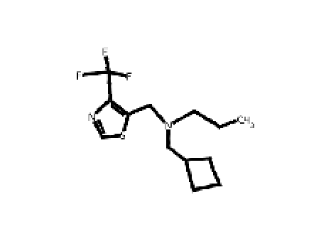 CCCN(Cc1s[c]nc1C(F)(F)F)CC1CCC1